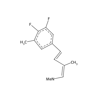 CN/C=C(C)\C=C\c1cc(C)c(F)c(F)c1